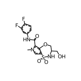 Cn1cc2c(c1C(=O)Nc1ccc(F)c(F)c1)OCC(CO)NS2(=O)=O